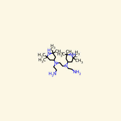 CC1(C)CC(N(CCN)CCN(CCN)C2CC(C)(C)NC(C)(C)C2)CC(C)(C)N1